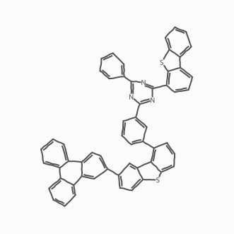 c1ccc(-c2nc(-c3cccc(-c4cccc5sc6ccc(-c7ccc8c9ccccc9c9ccccc9c8c7)cc6c45)c3)nc(-c3cccc4c3sc3ccccc34)n2)cc1